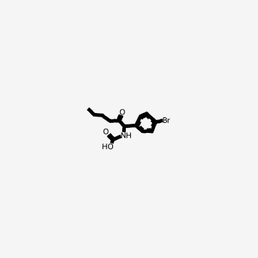 CCCCC(=O)C(NC(=O)O)c1ccc(Br)cc1